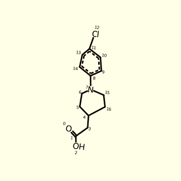 O=C(O)CC1CCN(c2ccc(Cl)cc2)CC1